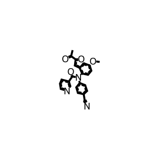 COc1ccc(N(C(=O)c2cccnc2)c2ccc(C#N)cc2)c2cc(C(C)=O)oc12